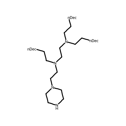 CCCCCCCCCCCCN(CCCCCCCCCCCC)CCN(CCCCCCCCCCCC)CCN1CCNCC1